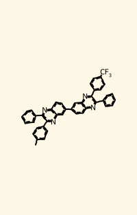 Cc1ccc(-c2nc3cc(-c4ccc5nc(-c6ccccc6)c(-c6ccc(C(F)(F)F)cc6)nc5c4)ccc3nc2-c2ccccc2)cc1